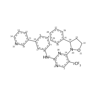 FC(F)(F)c1cnc(Nc2cccc(-c3cccnc3)c2)nc1N1OCCC1c1ccccc1